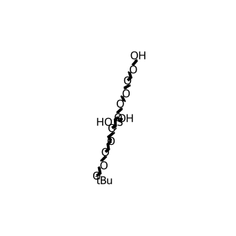 CC(C)(C)OCCOCCOCCOCCOCCOCCOCCOCCOCCOCCO.O=S(=O)(O)O